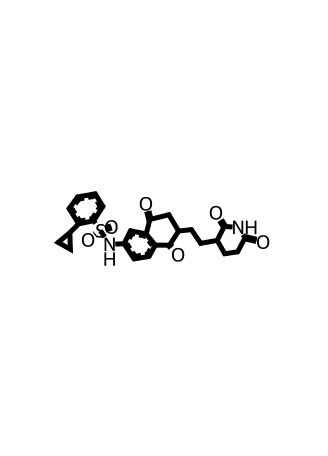 O=C1CCC(CCC2CC(=O)c3cc(NS(=O)(=O)c4ccccc4C4CC4)ccc3C2=O)C(=O)N1